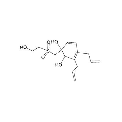 C=CCC1=C(CC=C)C(O)C(O)(CS(=O)(=O)CCO)C=C1